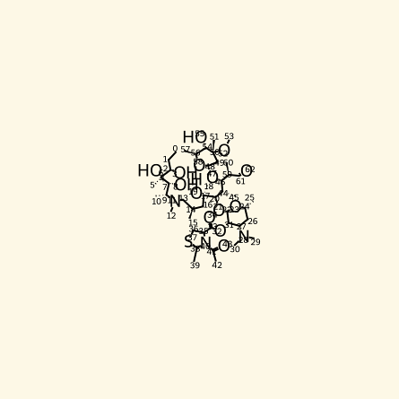 CC[C@@H](O)[C@](C)(O)[C@H](O)[C@@H](C)N(C)C[C@H](C)C[C@@](C)(O)[C@H](O[C@@H]1O[C@H](C)C[C@H](N(C)C)[C@H]1OC(=O)C1CSC(C)N1C(C)=O)[C@@H](C)[C@H](O[C@H]1C[C@@](C)(OC)[C@@H](O)[C@H](C)O1)[C@@H](C)C=O